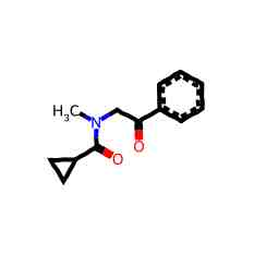 CN(CC(=O)c1ccccc1)C(=O)C1CC1